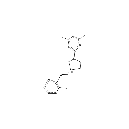 Cc1cc(C)nc(N2CC[C@H](COc3ccccc3C)C2)n1